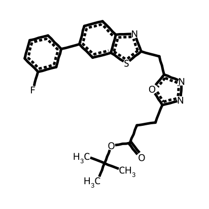 CC(C)(C)OC(=O)CCc1nnc(Cc2nc3ccc(-c4cccc(F)c4)cc3s2)o1